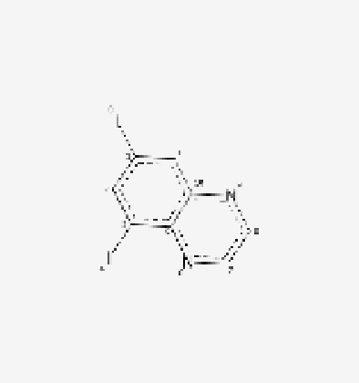 Ic1cc(I)c2nccnc2c1